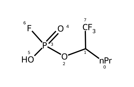 CCCC(OP(=O)(O)F)C(F)(F)F